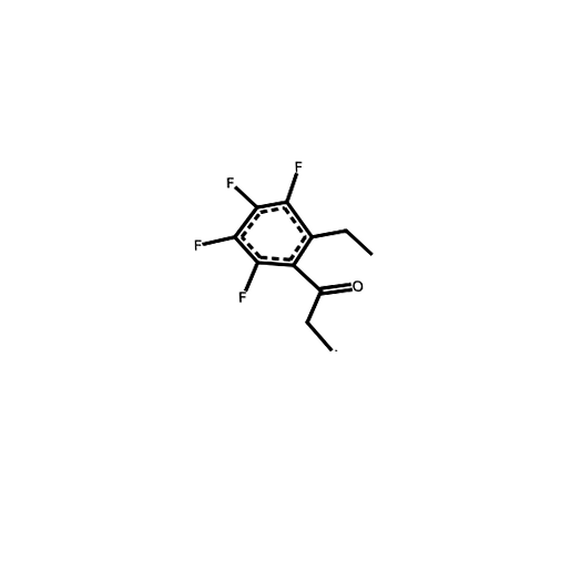 [CH2]CC(=O)c1c(F)c(F)c(F)c(F)c1CC